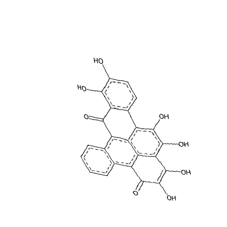 O=C1C(O)=C(O)c2c(O)c(O)c3c4c(c5ccccc5c1c24)C(=O)c1c-3ccc(O)c1O